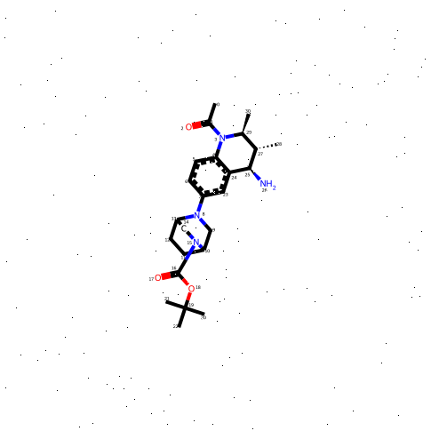 CC(=O)N1c2ccc(N3CC4CCC3CN4C(=O)OC(C)(C)C)cc2[C@H](N)[C@@H](C)[C@@H]1C